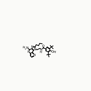 CCCCc1nc2c(N)nc3cccnc3c2n1CCNC(=O)c1cc(C(C)(C)C)c(O)c(C(C)(C)C)c1